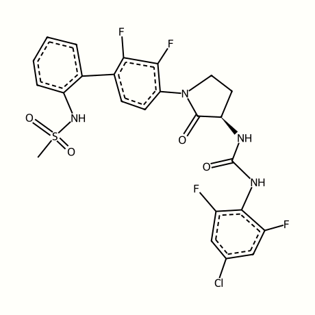 CS(=O)(=O)Nc1ccccc1-c1ccc(N2CC[C@@H](NC(=O)Nc3c(F)cc(Cl)cc3F)C2=O)c(F)c1F